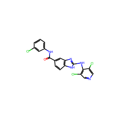 O=C(Nc1cccc(Cl)c1)c1ccc2[nH]c(Nc3c(Cl)cncc3Cl)nc2c1